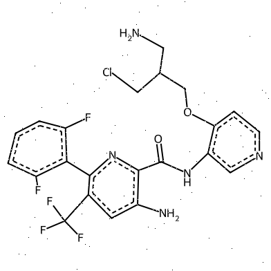 NCC(CCl)COc1ccncc1NC(=O)c1nc(-c2c(F)cccc2F)c(C(F)(F)F)cc1N